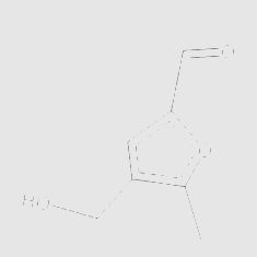 Cc1oc(C=O)cc1CO